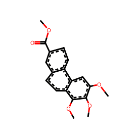 COC(=O)c1ccc2c(ccc3c(OC)c(OC)c(OC)cc32)c1